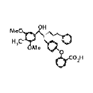 COc1cc(C(O)[C@H](CCCc2ccccc2)Cc2ccc(Oc3ccccc3C(=O)O)cc2)cc(OC)c1C